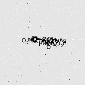 CC(=O)OCC1=C(C(=O)O)N2C(=O)[C@@H](NC(=O)OCc3ccc([N+](=O)[O-])cc3)[C@H]2SC1